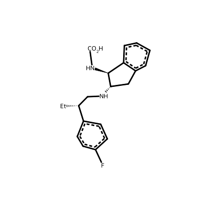 CC[C@H](CN[C@H]1Cc2ccccc2[C@@H]1NC(=O)O)c1ccc(F)cc1